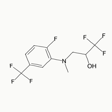 CN(CC(O)C(F)(F)F)c1cc(C(F)(F)F)ccc1F